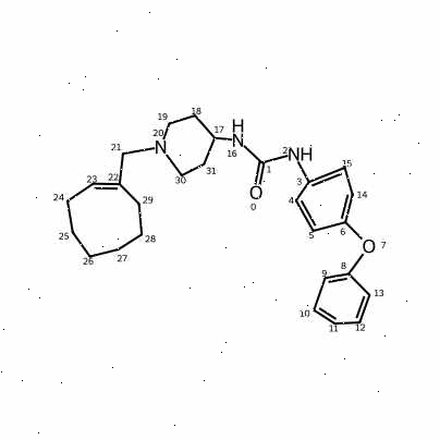 O=C(Nc1ccc(Oc2ccccc2)cc1)NC1CCN(CC2=CCCCCCC2)CC1